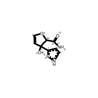 CC1(c2cc[nH]n2)C=COC1C(N)=O